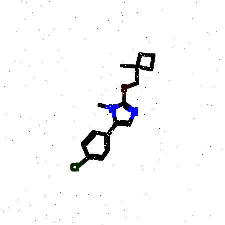 [CH2]C1(CSc2ncc(-c3ccc(Cl)cc3)n2C)CCC1